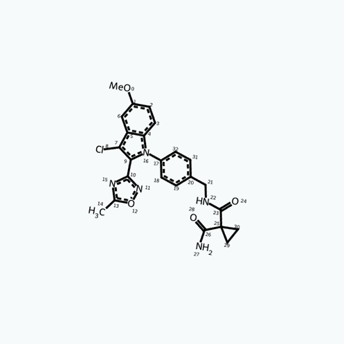 COc1ccc2c(c1)c(Cl)c(-c1noc(C)n1)n2-c1ccc(CNC(=O)C2(C(N)=O)CC2)cc1